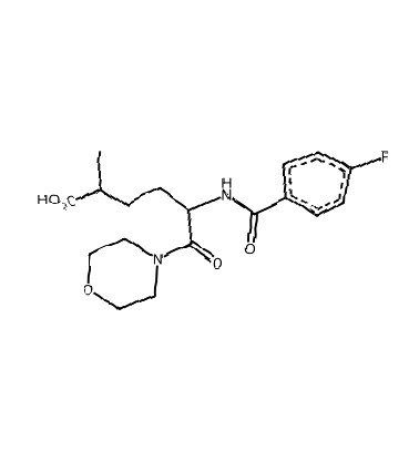 CC(CCC(NC(=O)c1ccc(F)cc1)C(=O)N1CCOCC1)C(=O)O